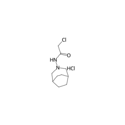 Cl.O=C(CCl)NN1CC2CCC(CC2)C1